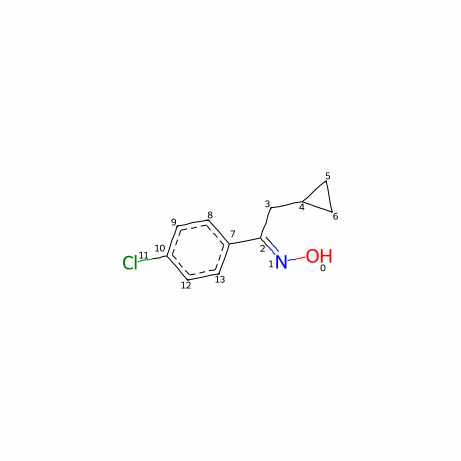 O/N=C(\CC1CC1)c1ccc(Cl)cc1